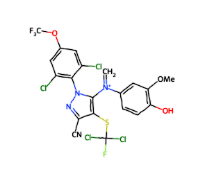 C=[N+](c1ccc(O)c(OC)c1)c1c(SC(F)(Cl)Cl)c(C#N)nn1-c1c(Cl)cc(OC(F)(F)F)cc1Cl